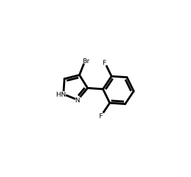 Fc1cccc(F)c1-c1n[nH]cc1Br